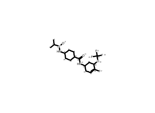 CC(C)[S+]([O-])NC1CCC(C(=O)NC2CC=C(F)C(OC(F)(F)F)C2)CC1